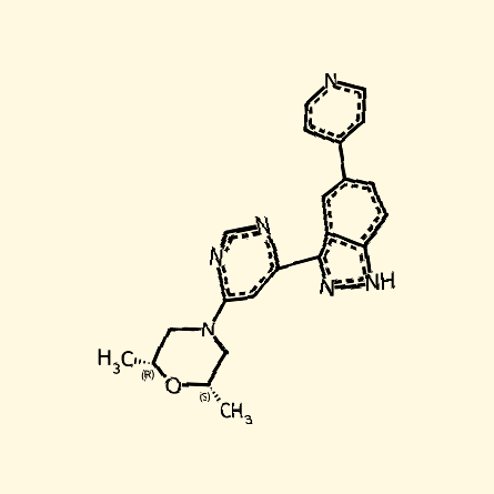 C[C@@H]1CN(c2cc(-c3n[nH]c4ccc(-c5ccncc5)cc34)ncn2)C[C@H](C)O1